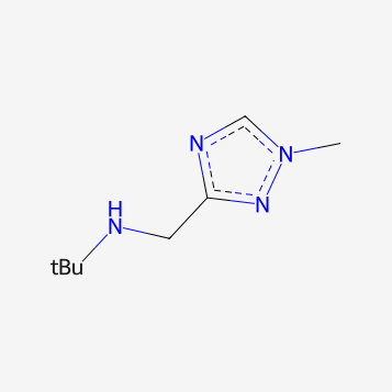 Cn1cnc(CNC(C)(C)C)n1